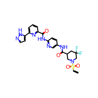 C=CS(=O)(=O)N1CC(C(=O)Nc2ccc(NC(=O)c3cccc(-c4ccn[nH]4)n3)nc2)CC(F)(F)C1